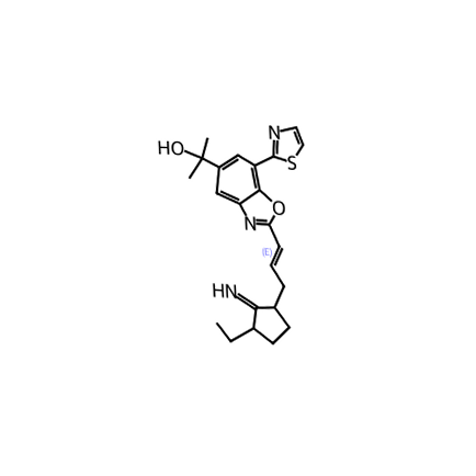 CCC1CCC(C/C=C/c2nc3cc(C(C)(C)O)cc(-c4nccs4)c3o2)C1=N